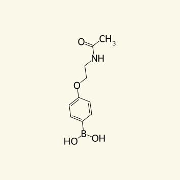 CC(=O)NCCOc1ccc(B(O)O)cc1